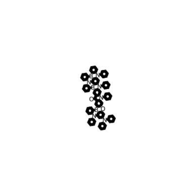 O=c1c2cc3c(cc2n(-c2ccccc2)c2cc4c(cc12)B1c2ccccc2N2c5ccccc5B5c6ccccc6N(c6ccccc6)c6cc(c1c2c65)N4c1ccccc1)Oc1cc(N(c2ccccc2)c2ccccc2)cc2c1B3c1ccccc1N2c1ccccc1